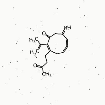 C=C(C)/C1=C(\CCC(C)=O)CC=C=CC(=N)CC1=O